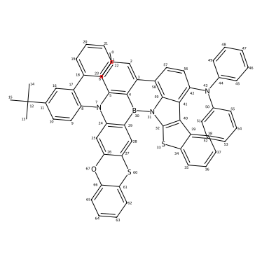 Cc1cc2c3c(c1)N(c1ccc(C(C)(C)C)cc1-c1ccccc1)c1cc4c(cc1B3n1c3sc5ccccc5c3c3c(N(c5ccccc5)c5ccccc5)ccc-2c31)Sc1ccccc1O4